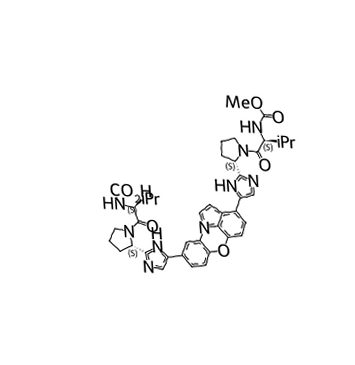 COC(=O)N[C@H](C(=O)N1CCC[C@H]1c1ncc(-c2ccc3c4c2ccn4-c2cc(-c4cnc([C@@H]5CCCN5C(=O)[C@@H](NC(=O)O)C(C)C)[nH]4)ccc2O3)[nH]1)C(C)C